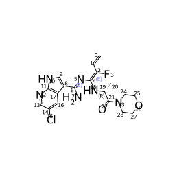 C=C/C(F)=C(\N=C(/N)c1c[nH]c2ncc(Cl)cc12)N[C@H](C)C(=O)N1CCOCC1